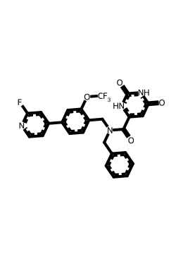 O=C(c1cc(=O)[nH]c(=O)[nH]1)N(Cc1ccccc1)Cc1ccc(-c2ccnc(F)c2)cc1OC(F)(F)F